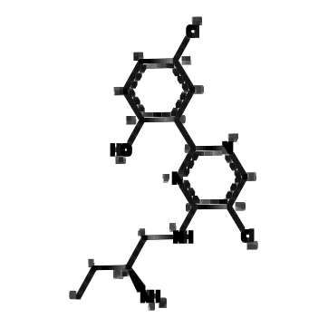 CC[C@H](N)CNc1nc(-c2cc(Cl)ccc2O)ncc1Cl